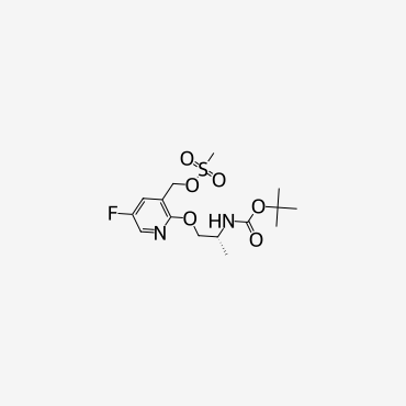 C[C@H](COc1ncc(F)cc1COS(C)(=O)=O)NC(=O)OC(C)(C)C